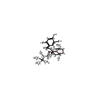 CC(C)(C)[S+]([O-])N[C@H](Cc1cc(F)c(F)cc1F)[C@@H]1C[C@H]2CC[C@@H](C1)N2C(=O)CN